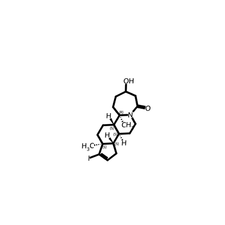 C[C@]12CC[C@H]3[C@@H](CCN4C(=O)CC(O)CC[C@]34C)[C@@H]1CC=C2I